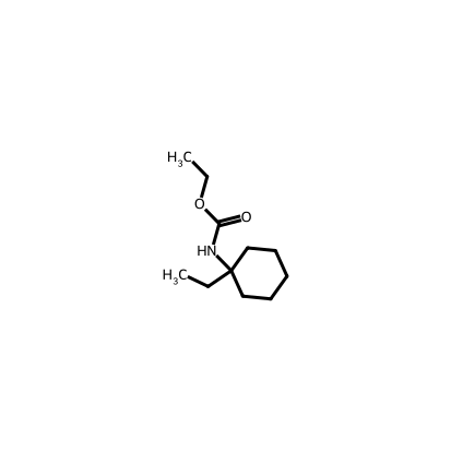 CCOC(=O)NC1(CC)CCCCC1